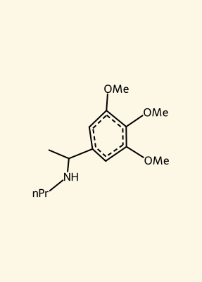 CCCNC(C)c1cc(OC)c(OC)c(OC)c1